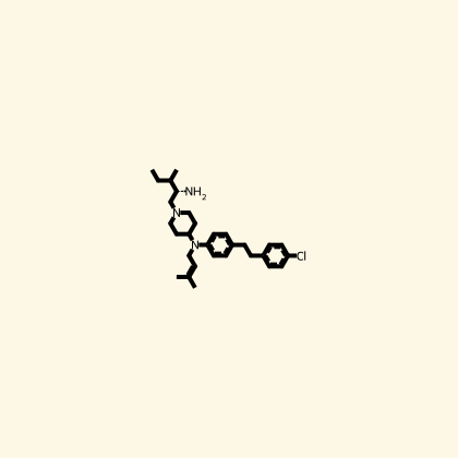 CCC(C)[C@H](N)CN1CCC(N(CC=C(C)C)c2ccc(CCc3ccc(Cl)cc3)cc2)CC1